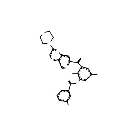 O=C(Nc1cc(F)cc(C(=O)c2cc3cc(N4CCOCC4)cnc3cn2)c1F)c1cccc(F)c1